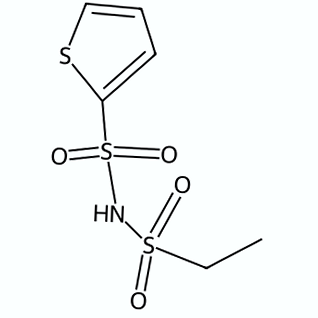 CCS(=O)(=O)NS(=O)(=O)c1cccs1